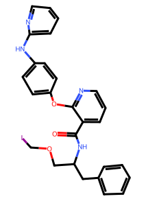 O=C(NC(COCI)Cc1ccccc1)c1cccnc1Oc1ccc(Nc2ccccn2)cc1